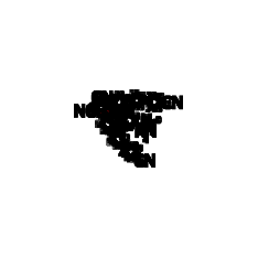 Cc1nc(C)nc(-c2cc(-n3c4cc(-c5ccc(C#N)cc5)ccc4c4ccc(-c5ccc(C#N)cc5)cc43)c(C#N)c(-n3c4cc(-c5ccc(C#N)cc5)ccc4c4ccc(-c5ccc(C#N)cc5)cc43)c2)n1